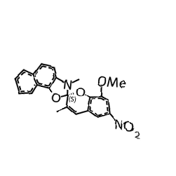 COc1cc([N+](=O)[O-])cc2c1O[C@@]1(Oc3c(ccc4ccccc34)N1C)C(C)=C2